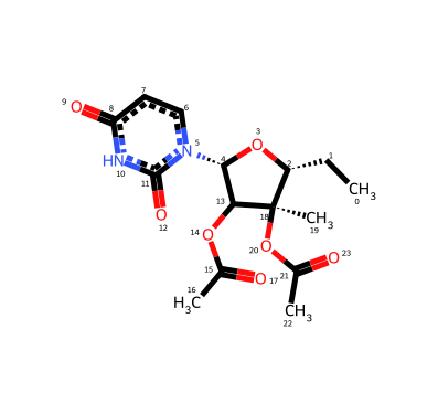 CC[C@H]1O[C@@H](n2ccc(=O)[nH]c2=O)C(OC(C)=O)[C@]1(C)OC(C)=O